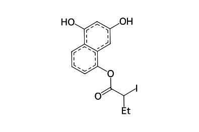 CCC(I)C(=O)Oc1cccc2c(O)cc(O)cc12